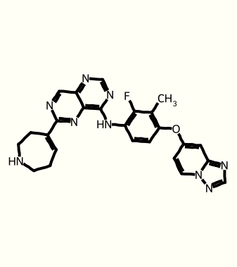 Cc1c(Oc2ccn3ncnc3c2)ccc(Nc2ncnc3cnc(C4=CCCNCC4)nc23)c1F